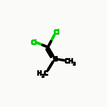 C[Si](C)=C(Cl)Cl